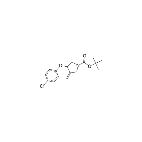 C=C1CN(C(=O)OC(C)(C)C)CC1Oc1ccc(Cl)cc1